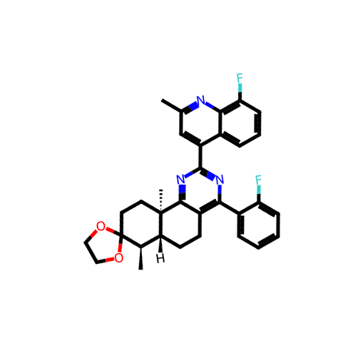 Cc1cc(-c2nc(-c3ccccc3F)c3c(n2)[C@]2(C)CCC4(OCCO4)[C@H](C)[C@H]2CC3)c2cccc(F)c2n1